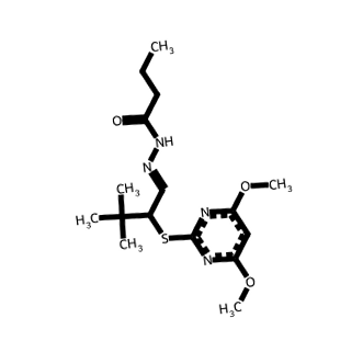 CCCC(=O)NN=CC(Sc1nc(OC)cc(OC)n1)C(C)(C)C